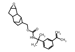 C=C(C)c1cccc(C(C)(C)NC(=O)OCC2CC3CC2C2C3CC3OC32)c1